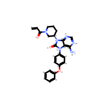 C=CC(=O)N1CCC[C@@H](n2c(=O)n(-c3ccc(Oc4ccccc4)cc3)c3c(N)ncnc32)C1